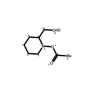 CC(C)(C)C(=O)ON1CCCCC1CC=O